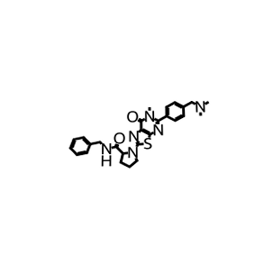 CN(C)Cc1ccc(-c2nc3sc(N4CCCC4C(=O)NCc4ccccc4)nc3c(=O)n2C)cc1